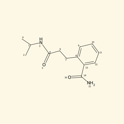 CC(C)NC(=O)C[CH]c1ccccc1C(N)=O